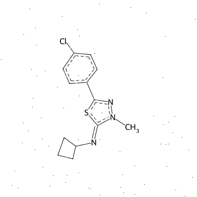 Cn1nc(-c2ccc(Cl)cc2)sc1=NC1CCC1